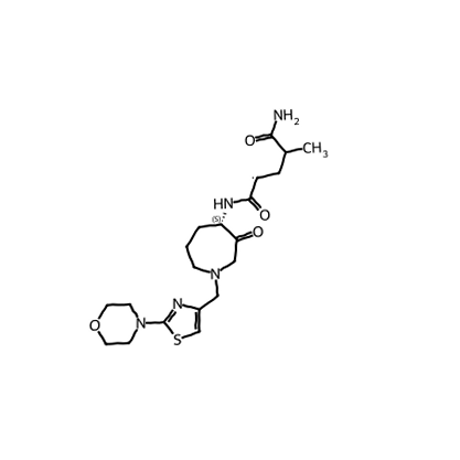 CC(C[CH]C(=O)N[C@H]1CCCN(Cc2csc(N3CCOCC3)n2)CC1=O)C(N)=O